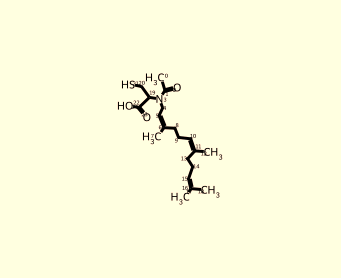 CC(=O)N(CC=C(C)CCC=C(C)CCC=C(C)C)C(CS)C(=O)O